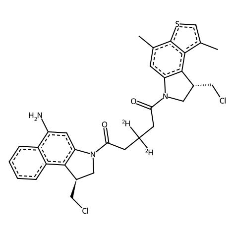 [2H]C([2H])(CC(=O)N1C[C@@H](CCl)c2c1cc(N)c1ccccc21)CC(=O)N1C[C@@H](CCl)c2c1cc(C)c1scc(C)c21